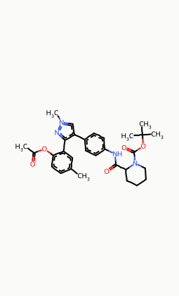 CC(=O)Oc1ccc(C)cc1-c1nn(C)cc1-c1ccc(NC(=O)C2CCCCN2C(=O)OC(C)(C)C)cc1